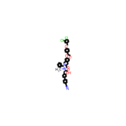 Cc1ccccc1CN1Cc2cc3c(cc2CC1C(=O)NC(Cc1ccc(-c2ccc(C#N)cc2)cc1)C(=O)O)OCC(c1ccc(OCc2ccc(Cl)c(Cl)c2)cc1)O3